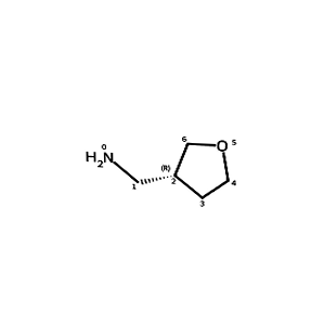 NC[C@H]1CCOC1